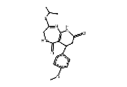 COc1ccc(C2CC(=O)NC3=C2C(=O)NCC(SC(C)C)=N3)cc1